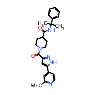 COc1cc(-c2cc(C(=O)N3CCC(C(=O)NC(C)(C)c4ccccc4)CC3)n[nH]2)ccn1